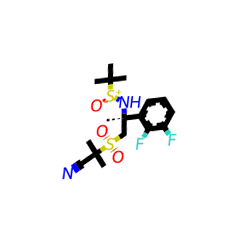 CC(C)(C)[S@@+]([O-])N[C@](C)(CS(=O)(=O)C(C)(C)C#N)c1cccc(F)c1F